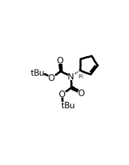 CC(C)(C)OC(=O)N(C(=O)OC(C)(C)C)[C@H]1C=CCC1